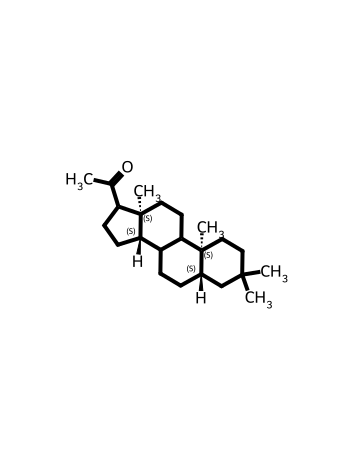 CC(=O)C1CC[C@H]2C3CC[C@H]4CC(C)(C)CC[C@]4(C)C3CC[C@]12C